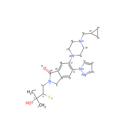 CC(C)(O)C(F)CN1Cc2cc(-n3cccn3)c(N3CCN(CC4CC4)CC3)cc2C1=O